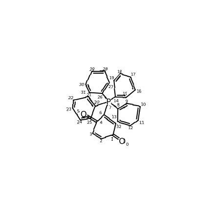 O=C1C=CC(=O)C(P(c2ccccc2)(c2ccccc2)(c2ccccc2)c2ccccc2)=C1